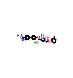 CC1CCCC(OC(=O)C[C@@H]2C[C@@H](COc3ccc(-c4ccc(C(=N)N)cc4)cc3)NC2=O)C1.Cl